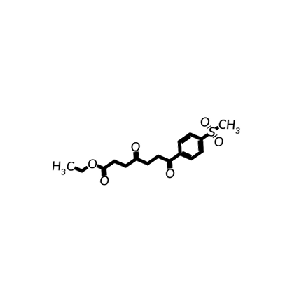 CCOC(=O)CCC(=O)CCC(=O)c1ccc(S(C)(=O)=O)cc1